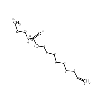 C=CCCCCCCCOC(=O)NCCC